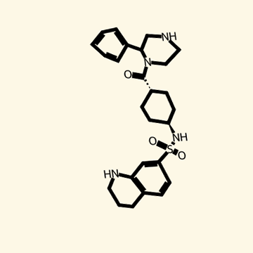 O=C([C@H]1CC[C@H](NS(=O)(=O)c2ccc3c(c2)NCCC3)CC1)N1CCNCC1c1ccccc1